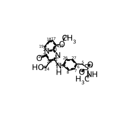 CNS(=O)(=O)Cc1ccc(Nc2nc3c(OC)cccn3c(=O)c2CO)cc1